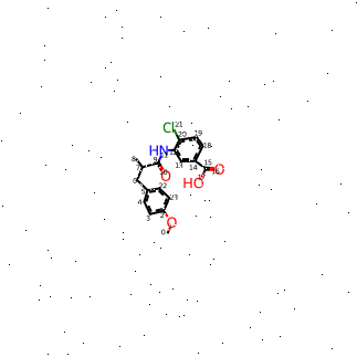 COc1ccc(CC(C)C(=O)Nc2cc(C(=O)O)ccc2Cl)cc1